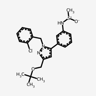 C[S+]([O-])Nc1cccc(-c2cc(COC(C)(C)C)nn2Cc2ccccc2Cl)c1